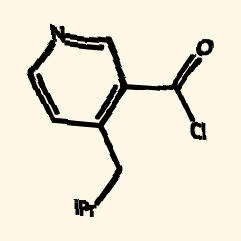 CC(C)Cc1ccncc1C(=O)Cl